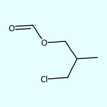 CC(CCl)CO[C]=O